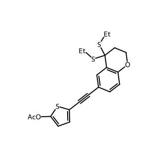 CCSC1(SCC)CCOc2ccc(C#Cc3ccc(OC(C)=O)s3)cc21